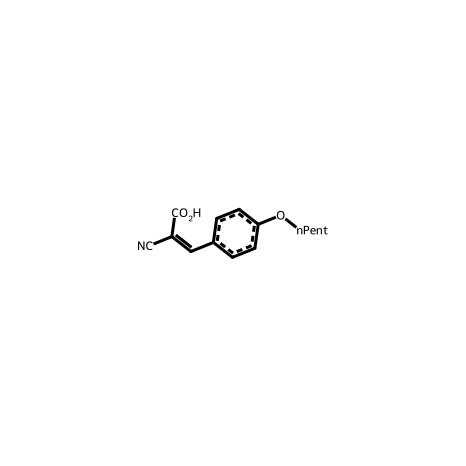 CCCCCOc1ccc(C=C(C#N)C(=O)O)cc1